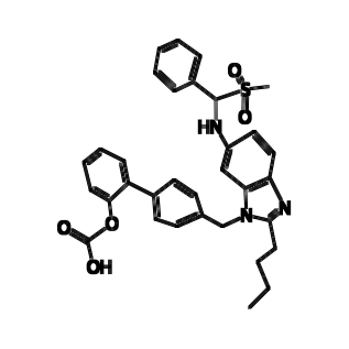 CCCCc1nc2ccc(NC(c3ccccc3)S(C)(=O)=O)cc2n1Cc1ccc(-c2ccccc2OC(=O)O)cc1